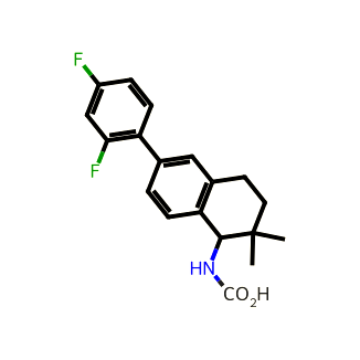 CC1(C)CCc2cc(-c3ccc(F)cc3F)ccc2C1NC(=O)O